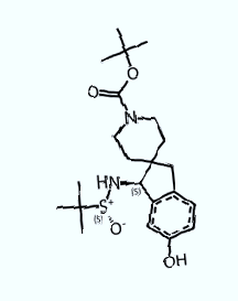 CC(C)(C)OC(=O)N1CCC2(CC1)Cc1ccc(O)cc1[C@H]2N[S@+]([O-])C(C)(C)C